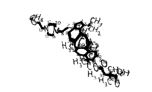 C=C(C)[C@@H]1CC[C@]2(CCN3CCN(CCOC)CC3)CC[C@]3(C)[C@H](CC[C@@H]4[C@@]5(C)CC[C@H](OC(=O)CC(C)(C)C(=O)O)C(C)(C)[C@@H]5CC[C@]43C)[C@@H]12